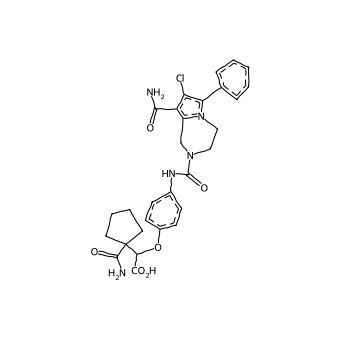 NC(=O)c1c(Cl)c(-c2ccccc2)n2c1CN(C(=O)Nc1ccc(OC(C(=O)O)C3(C(N)=O)CCCC3)cc1)CC2